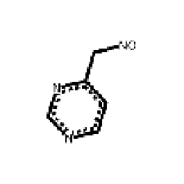 O=NCc1ccncn1